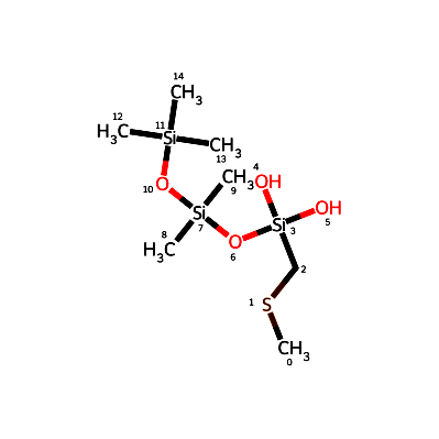 CSC[Si](O)(O)O[Si](C)(C)O[Si](C)(C)C